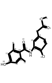 COC(=O)Cc1ccc(Cl)c(NC(=O)c2c(C)cc(O)cc2C)c1